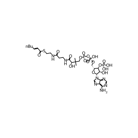 CCCCC=CC(=O)SCCNC(=O)CCNC(=O)[C@H](O)C(C)(C)COP(=O)(O)OP(=O)(O)OC[C@H]1O[C@@H](n2cnc3c(N)ncnc32)[C@H](O)[C@@H]1OP(=O)(O)O